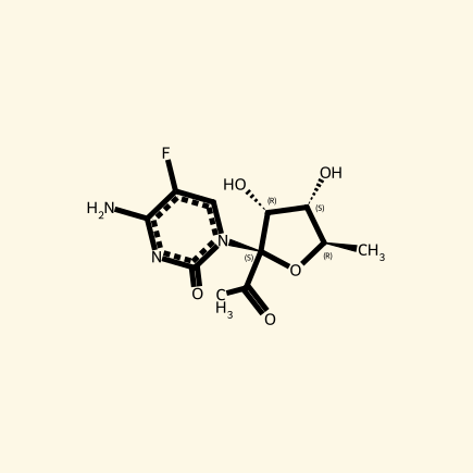 CC(=O)[C@@]1(n2cc(F)c(N)nc2=O)O[C@H](C)[C@@H](O)[C@H]1O